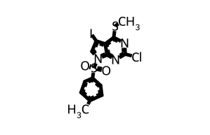 CSc1nc(Cl)nc2c1c(I)cn2S(=O)(=O)c1ccc(C)cc1